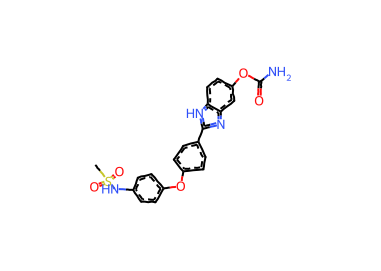 CS(=O)(=O)Nc1ccc(Oc2ccc(-c3nc4cc(OC(N)=O)ccc4[nH]3)cc2)cc1